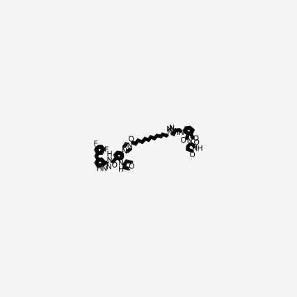 O=C1CCC(N2C(=O)c3cccc(NCc4cn(CCCCCCCCCCCC(=O)N5CCN(c6ccc(C(=O)Nc7n[nH]c8ccc(Cc9cc(F)cc(F)c9)cc78)c(NC7CCOCC7)c6)CC5)nn4)c3C2=O)C(=O)N1